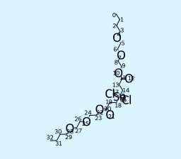 CCCCOCCOCCOC(=O)C[CH2][Sn]([Cl])([Cl])[CH2]CC(=O)OCCOCCOCCCC